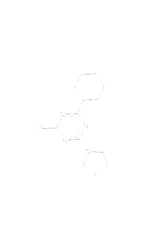 Clc1nc(C2CCCCC2)nc(N2CCCC2)n1